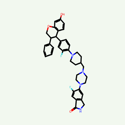 O=C1NCc2cc(N3CCN(CC4CCN(c5ccc(C6c7ccc(O)cc7OCC6c6ccccc6)cc5F)CC4)CC3)c(F)cc21